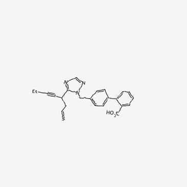 CCC#CC(CC=S)c1ncnn1Cc1ccc(-c2ccccc2C(=O)O)cc1